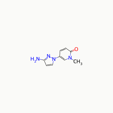 Cn1cc(-n2ccc(N)n2)ccc1=O